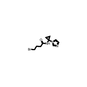 O=C(CCCBr)NC1(n2ccnc2)CC1